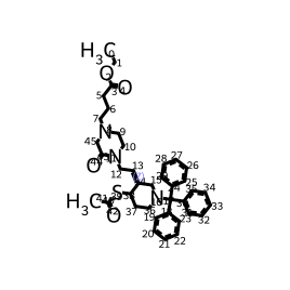 CCOC(=O)CCCN1CCN(C/C=C2/CN(C(c3ccccc3)(c3ccccc3)c3ccccc3)CCC2SC(C)=O)C(=O)C1